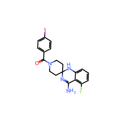 NC1=NC2(CCN(C(=O)c3ccc(I)cc3)CC2)Nc2cccc(F)c21